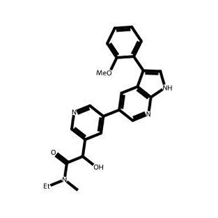 CCN(C)C(=O)C(O)c1cncc(-c2cnc3[nH]cc(-c4ccccc4OC)c3c2)c1